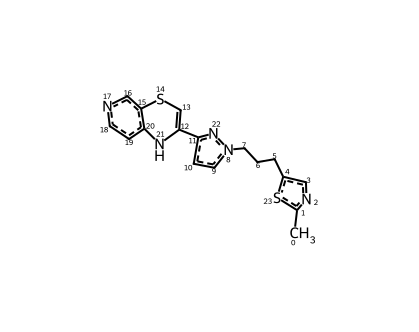 Cc1ncc(CCCn2ccc(C3=CSc4cnccc4N3)n2)s1